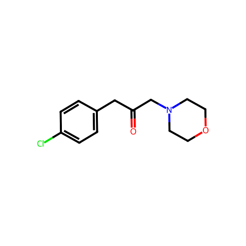 O=C(Cc1ccc(Cl)cc1)CN1CCOCC1